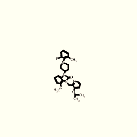 COc1cccc2c1n(Cc1ncccc1OC(C)C)c(=O)n2C1CCN(c2c(C)cccc2F)CC1